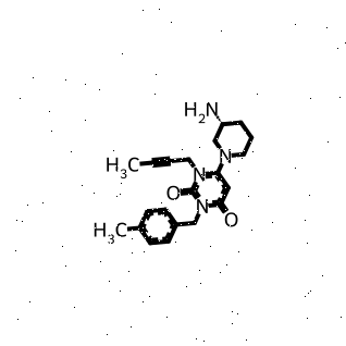 CC#CCn1c(N2CCC[C@@H](N)C2)cc(=O)n(Cc2ccc(C)cc2)c1=O